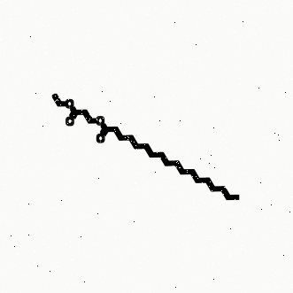 CCCCCCCCCCCCCCCCCC(=O)OCCC(=O)OCC